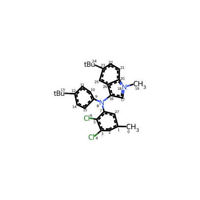 Cc1cc(Cl)c(Cl)c(N(c2ccc(C(C)(C)C)cc2)c2cn(C)c3ccc(C(C)(C)C)cc23)c1